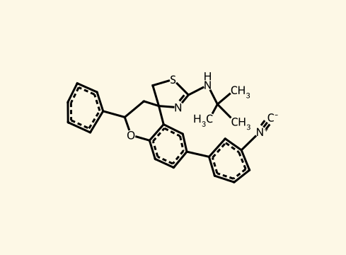 [C-]#[N+]c1cccc(-c2ccc3c(c2)C2(CSC(NC(C)(C)C)=N2)CC(c2ccccc2)O3)c1